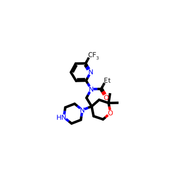 CCC(=O)N(CC1(N2CCNCC2)CCOC(C)(C)C1)c1cccc(C(F)(F)F)n1